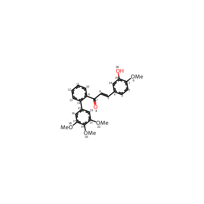 COc1ccc(/C=C/C(=O)c2ccccc2-c2cc(OC)c(OC)c(OC)c2)cc1O